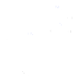 C[N+](C)(C)C(N)CCNc1ccc([N+](=O)[O-])cc1C(F)(F)F